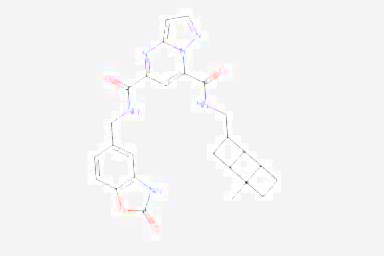 CC12C3C4C1C1C2C3C41CNC(=O)c1cc(C(=O)NCc2ccc3oc(=O)[nH]c3c2)nc2ccnn12